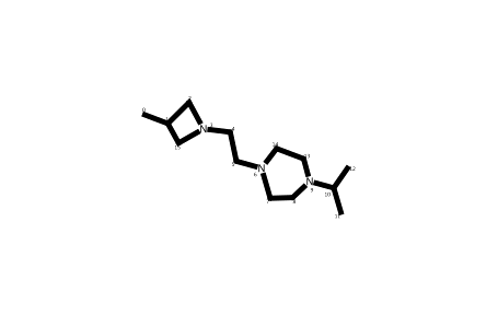 CC1CN(CCN2CCN(C(C)C)CC2)C1